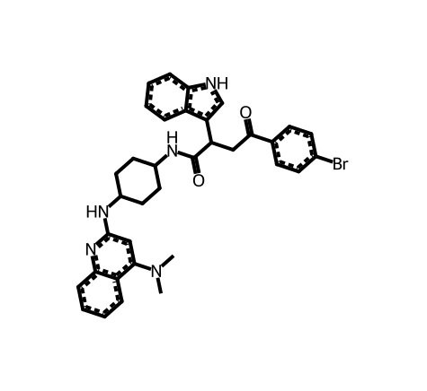 CN(C)c1cc(NC2CCC(NC(=O)C(CC(=O)c3ccc(Br)cc3)c3c[nH]c4ccccc34)CC2)nc2ccccc12